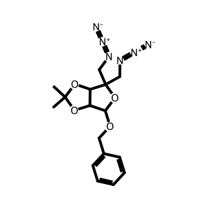 CC1(C)OC2C(OCc3ccccc3)OC(CN=[N+]=[N-])(CN=[N+]=[N-])C2O1